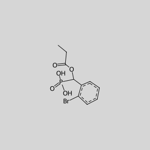 CCC(=O)OC(c1ccccc1Br)P(=O)(O)O